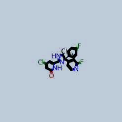 C[C@@H]1NC(c2cc(Cl)cc(=O)[nH]2)=N[C@@]1(c1ccc(F)cc1)c1ccnc(F)c1